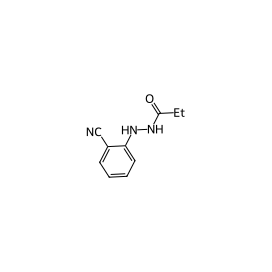 CCC(=O)NNc1ccccc1C#N